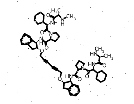 CN[C@@H](C)C(=O)N[C@H](C(=O)N1CCCC1C(=O)N[C@H]1c2ccccc2C[C@H]1OCC#CC#CCO[C@@H]1Cc2ccccc2[C@@H]1NC(=O)C1CCCN1C(=O)[C@@H](NC(=O)[C@H](C)NC)C1CCCCC1)C1CCCCC1